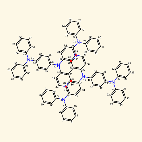 c1ccc(N(c2ccccc2)c2ccc(N(c3ccc(N(c4ccccc4)c4ccccc4)cc3)c3ccncc3-c3cnccc3N(c3ccc(N(c4ccccc4)c4ccccc4)cc3)c3ccc(N(c4ccccc4)c4ccccc4)cc3)cc2)cc1